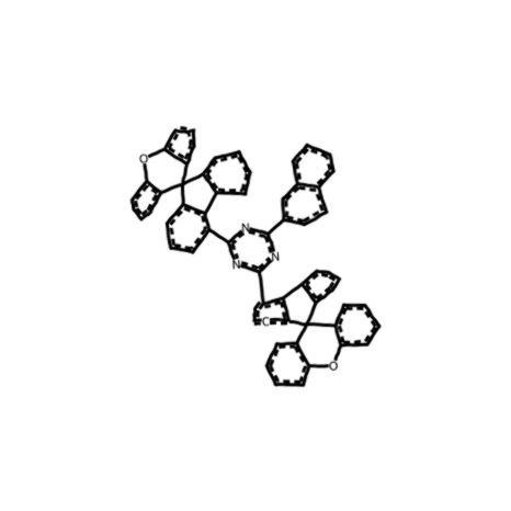 c1ccc2c(c1)Oc1ccccc1C21c2ccccc2-c2c(-c3nc(-c4ccc5ccccc5c4)nc(-c4cccc5c4-c4ccccc4C54c5ccccc5Oc5ccccc54)n3)cccc21